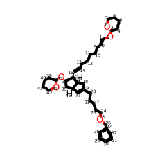 C(=COC1CCCCO1)CCCCCC=C[C@@H]1[C@@H]2CC(CCCCCOCc3ccccc3)=C[C@@H]2C[C@H]1OC1CCCCO1